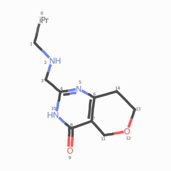 CC(C)CNCc1nc2c(c(=O)[nH]1)COCC2